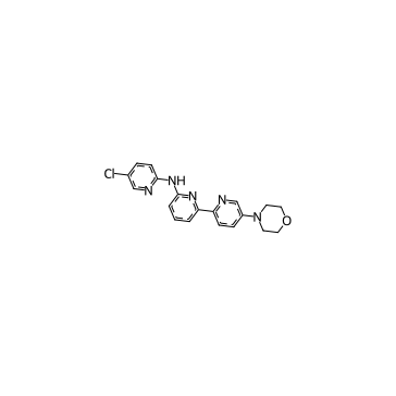 Clc1ccc(Nc2cccc(-c3ccc(N4CCOCC4)cn3)n2)nc1